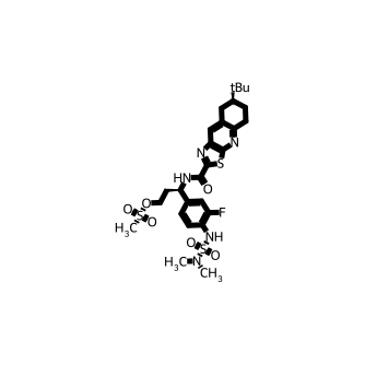 CN(C)S(=O)(=O)Nc1ccc([C@@H](CCOS(C)(=O)=O)NC(=O)c2nc3cc4c(nc3s2)CC[C@H](C(C)(C)C)C4)cc1F